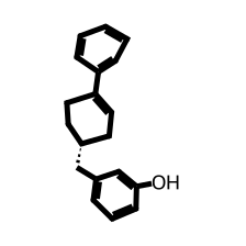 Oc1cccc(C[C@H]2CC=C(c3ccccc3)CC2)c1